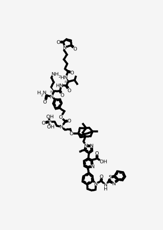 Cc1c(-c2ccc(-c3ccc4c(c3)N(C(=O)Nc3nc5ccccc5s3)CCC4)nc2C(=O)O)cnn1CC12CC3(C)CC(C)(C1)CC(OCCN(CCP(=O)(O)O)C(=O)OCc1ccc(N(C(N)=O)[C@@H](CCCN)C(=O)NC(=O)[C@@H](NC(=O)CCCCCN4C(=O)C=CC4=O)C(C)C)cc1)(C3)C2